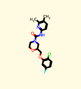 Cc1ccc(NC(=O)N2CCOC(COc3cc(F)ccc3Cl)C2)nc1C